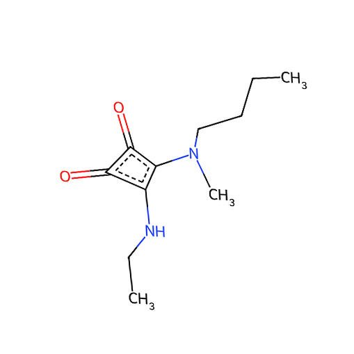 CCCCN(C)c1c(NCC)c(=O)c1=O